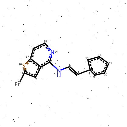 CCc1cc2c(NC=Cc3ccccc3)nccc2s1